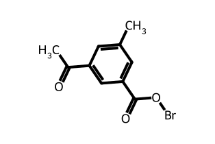 CC(=O)c1cc(C)cc(C(=O)OBr)c1